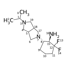 CC(C)N1CC2CN([C@H]3CCCC(F)(F)[C@@H]3N)CC2C1